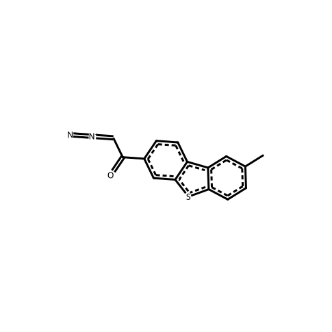 Cc1ccc2sc3cc(C(=O)C=[N+]=[N-])ccc3c2c1